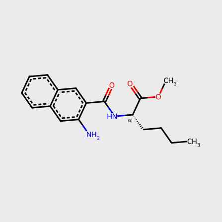 CCCC[C@H](NC(=O)c1cc2ccccc2cc1N)C(=O)OC